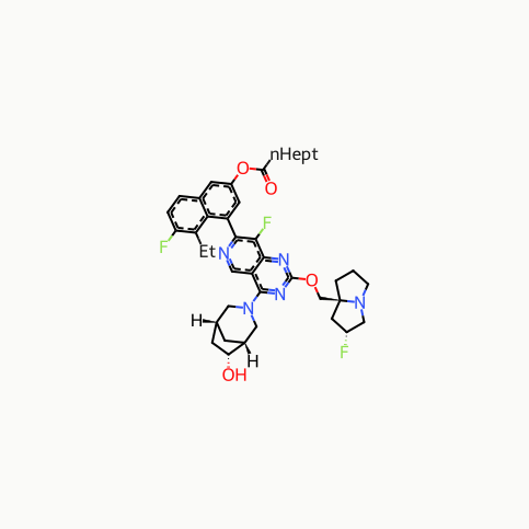 CCCCCCCC(=O)Oc1cc(-c2ncc3c(N4C[C@@H]5C[C@H](C4)[C@H](O)C5)nc(OC[C@@]45CCCN4C[C@H](F)C5)nc3c2F)c2c(CC)c(F)ccc2c1